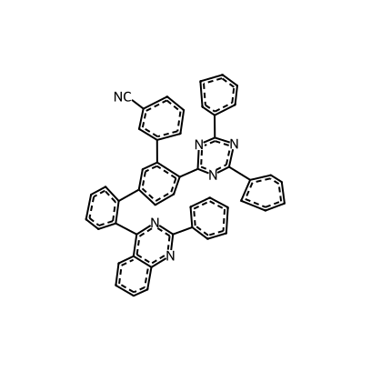 N#Cc1cccc(-c2cc(-c3ccccc3-c3nc(-c4ccccc4)nc4ccccc34)ccc2-c2nc(-c3ccccc3)nc(-c3ccccc3)n2)c1